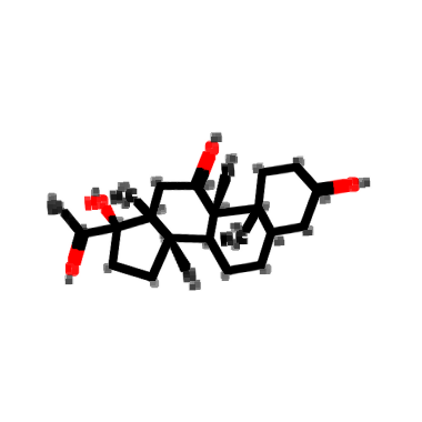 CCC(=O)[C@@]1(O)CC[C@H]2C3CCC4CC(=O)CCC4(C)[C@H]3C(=O)CC21C